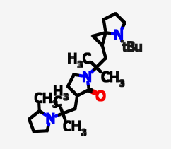 CC1CCCN1C(C)(C)CC1CCN(C(C)(C)CC2CC23CCCN3C(C)(C)C)C1=O